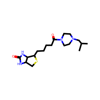 CC(C)CN1CCN(C(=O)CCCCC2SCC3NC(=O)NC32)CC1